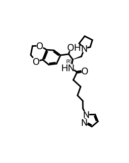 O=C(CCCCCn1cccn1)N[C@H](CN1CCCC1)C(O)c1ccc2c(c1)OCCO2